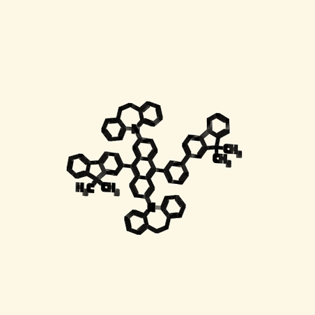 CC1(C)c2ccccc2-c2ccc(-c3cccc(-c4c5ccc(N6c7ccccc7CCc7ccccc76)cc5c(-c5ccc6c(c5)C(C)(C)c5ccccc5-6)c5ccc(N6c7ccccc7CCc7ccccc76)cc45)c3)cc21